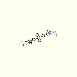 Cc1ccc(-c2ccc(-c3c4ccccc4c(-c4ccc(-c5ccc(C)nc5)cc4)c4ccccc34)cc2)nc1